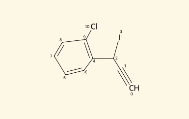 C#CC(I)c1[c]cccc1Cl